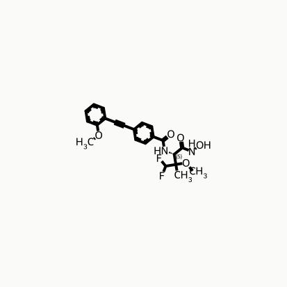 COc1ccccc1C#Cc1ccc(C(=O)N[C@H](C(=O)NO)C(C)(OC)C(F)F)cc1